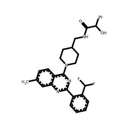 Cc1ccc2c(N3CCC(CNC(=O)C(O)C(C)C)CC3)nc(-c3ccccc3C(F)F)nc2c1